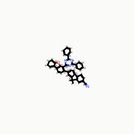 CC1(C)c2cc(C#N)ccc2-c2ccc(-c3ccc4c5c(oc4c3-c3nc(-c4ccccc4)nc(-c4ccccc4)n3)=CCCC=5)cc21